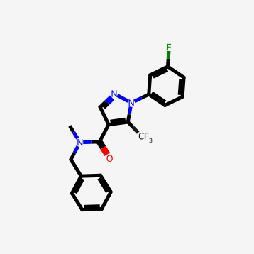 CN(Cc1ccccc1)C(=O)c1cnn(-c2cccc(F)c2)c1C(F)(F)F